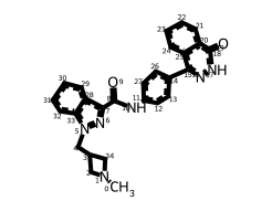 CN1CC(Cn2nc(C(=O)Nc3ccc(-c4n[nH]c(=O)c5ccccc45)cc3)c3ccccc32)C1